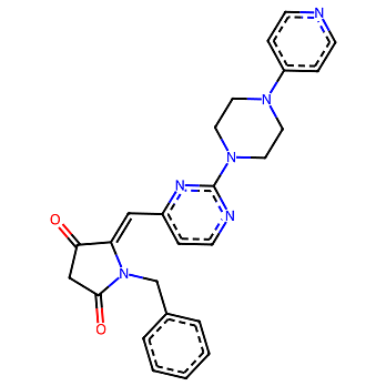 O=C1CC(=O)N(Cc2ccccc2)/C1=C\c1ccnc(N2CCN(c3ccncc3)CC2)n1